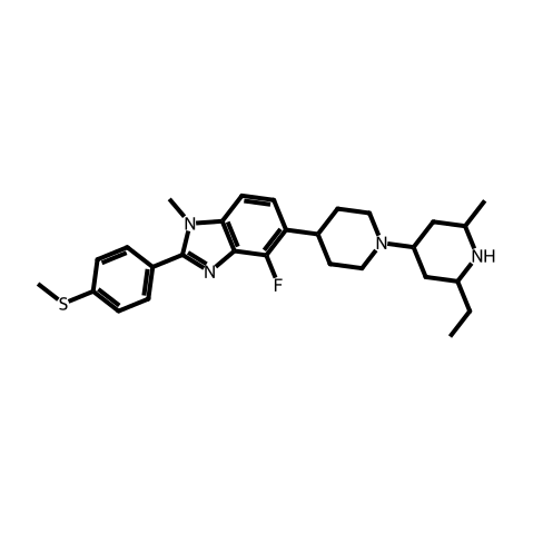 CCC1CC(N2CCC(c3ccc4c(nc(-c5ccc(SC)cc5)n4C)c3F)CC2)CC(C)N1